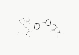 COC(=O)C(Cc1ccc(Oc2ccc(C=C3SC(=O)NC3=O)cc2)cc1)NC(=O)C1CCCN1C(=O)OC(C)(C)C